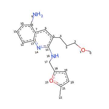 COCCCc1cc2c(N)cccc2nc1NCc1ccc(C)o1